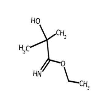 CCOC(=N)C(C)(C)O